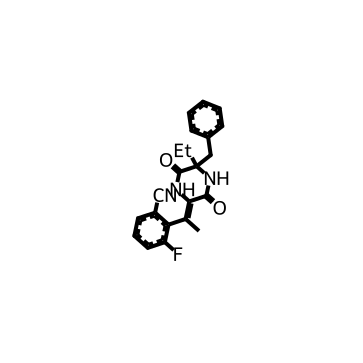 CCC1(Cc2ccccc2)NC(=O)C(=C(C)c2c(F)cccc2C#N)NC1=O